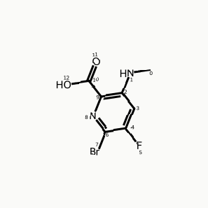 CNc1cc(F)c(Br)nc1C(=O)O